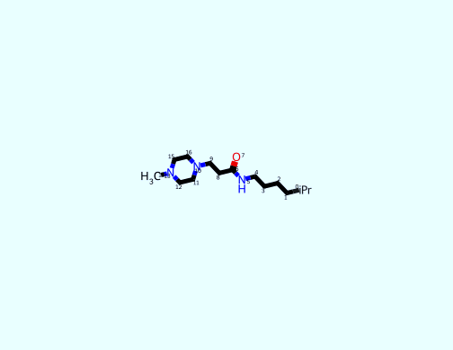 CC(C)CCCCNC(=O)CCN1CCN(C)CC1